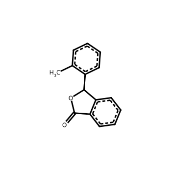 Cc1ccccc1C1OC(=O)c2ccccc21